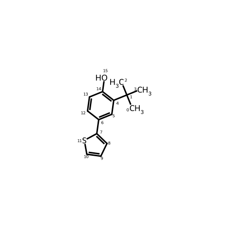 CC(C)(C)c1cc(-c2cccs2)ccc1O